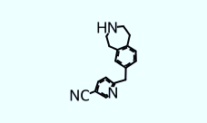 N#Cc1ccc(Cc2ccc3c(c2)CCNCC3)nc1